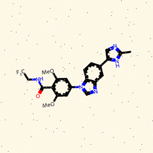 COc1cc(-n2cnc3cc(-c4cnc(C)[nH]4)ccc32)cc(OC)c1C(=O)NCC(F)(F)F